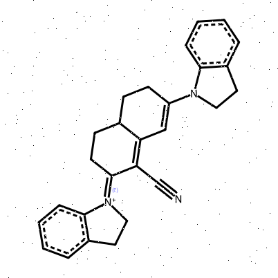 N#CC1=C2C=C(N3CCc4ccccc43)CCC2CC/C1=[N+]1/CCc2ccccc21